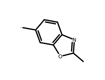 [CH2]c1ccc2nc(C)oc2c1